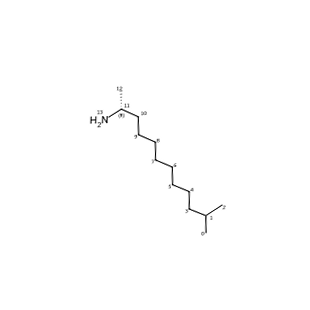 CC(C)CCCCCCCC[C@@H](C)N